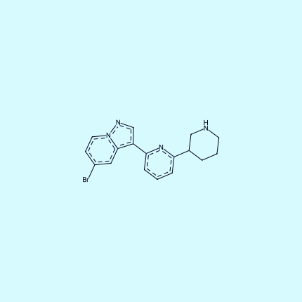 Brc1ccn2ncc(-c3cccc(C4CCCNC4)n3)c2c1